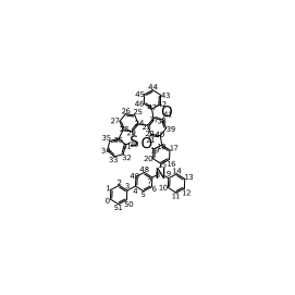 c1ccc(-c2ccc(N(c3ccccc3)c3ccc4c(c3)oc3c(-c5cccc6c5sc5ccccc56)c5c(cc34)oc3ccccc35)cc2)cc1